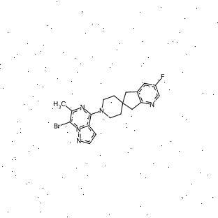 Cc1nc(N2CCC3(CC2)Cc2cc(F)cnc2C3)c2ccnn2c1Br